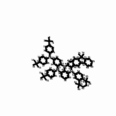 CC(C)(C)c1ccc(N(c2ccc(C(C)(C)C)cc2)c2ccc3c(c2)N(c2ccc(C(C)(C)C)cc2)c2cccc4c2B3c2sc3cc5c(cc3c2N4c2ccc3c(c2)C(C)(C)CCC3(C)C)-c2ccccc2C5(C)C)cc1